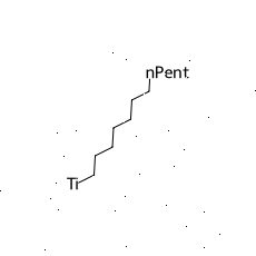 CCCCCCCCCCC[CH2][Ti]